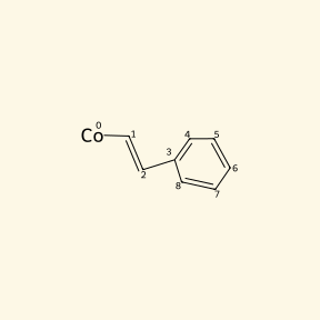 [Co][CH]=Cc1ccccc1